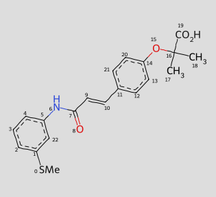 CSc1cccc(NC(=O)/C=C/c2ccc(OC(C)(C)C(=O)O)cc2)c1